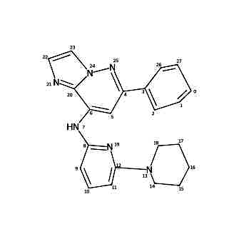 c1ccc(-c2cc(Nc3cccc(N4CCCCC4)n3)c3nccn3n2)cc1